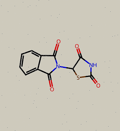 O=C1NC(=O)C(N2C(=O)c3ccccc3C2=O)S1